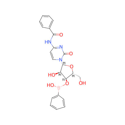 O=C(Nc1ccn([C@@H]2O[C@H](CO)[C@@H](OB(O)c3ccccc3)[C@H]2O)c(=O)n1)c1ccccc1